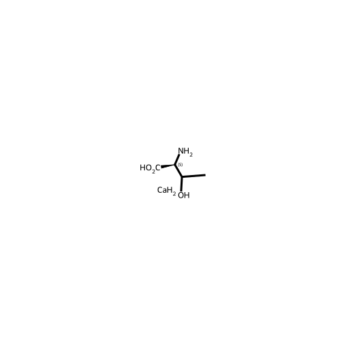 CC(O)[C@H](N)C(=O)O.[CaH2]